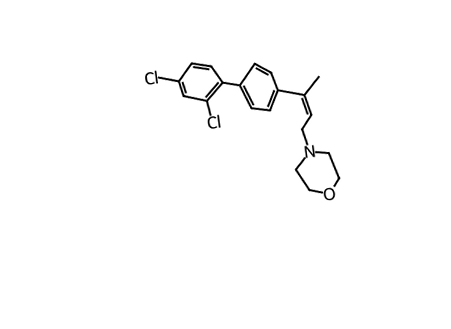 CC(=CCN1CCOCC1)c1ccc(-c2ccc(Cl)cc2Cl)cc1